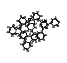 c1ccc(-c2nc(-c3ccccc3)nc(-c3cccc4oc5ccc(-c6cccc(-c7ccccc7-c7ccc8c(c7)c7ccccc7n8-c7ccccc7)c6)cc5c34)n2)cc1